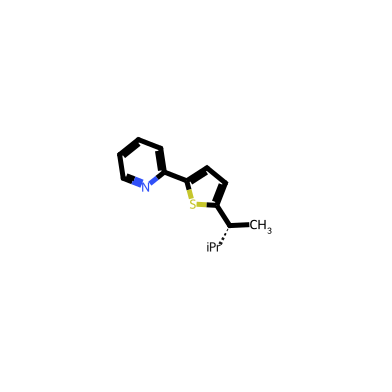 CC(C)[C@@H](C)c1ccc(-c2ccccn2)s1